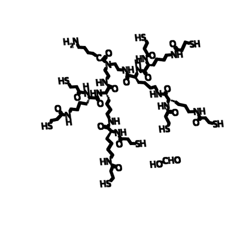 NCCCCCC(=O)N(CCNC(=O)[C@H](CCCCNC(=O)[C@H](CCCCNC(=O)CCS)NC(=O)CCS)NC(=O)[C@H](CCCCNC(=O)CCS)NC(=O)CCS)CCNC(=O)[C@H](CCCCNC(=O)[C@H](CCCCNC(=O)CCS)NC(=O)CCS)NC(=O)[C@H](CCCCNC(=O)CCS)NC(=O)CCS.O=CO